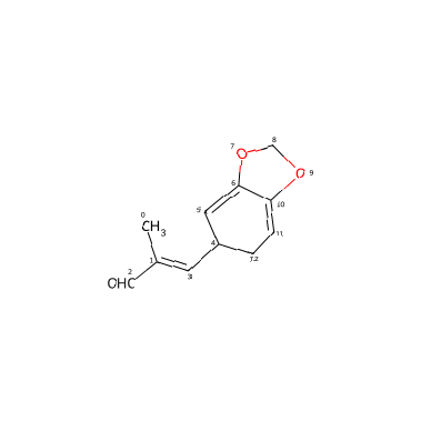 CC(C=O)=CC1C=C2OCOC2=CC1